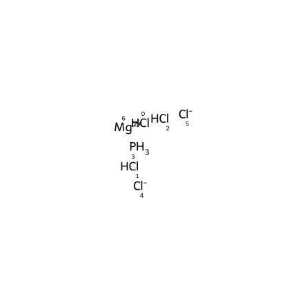 Cl.Cl.Cl.P.[Cl-].[Cl-].[Mg+2]